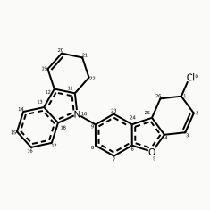 ClC1C=Cc2oc3ccc(-n4c5c(c6ccccc64)C=CCC5)cc3c2C1